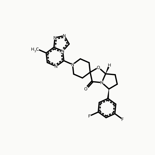 Cc1cnc(N2CCC3(CC2)O[C@@H]2CC[C@@H](c4cc(F)cc(F)c4)N2C3=O)n2cnnc12